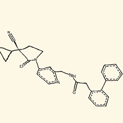 N#C[C@@]1(C2CC2)CCN(c2ccnc(NC(=O)Cc3ccccc3-c3ccccc3)c2)C1=O